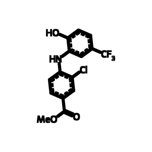 COC(=O)c1ccc(Nc2cc(C(F)(F)F)ccc2O)c(Cl)c1